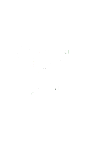 O=S(=O)(c1ccccc1)n1c(Sc2cc(Cl)cc(Cl)c2)cc2cc(Cl)ccc21